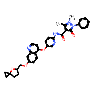 Cc1c(C(=O)Nc2ccc(Oc3ccnc4cc(OCC5CCC6(CC6)O5)ccc34)cn2)c(=O)n(-c2ccccc2)n1C